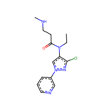 CCN(C(=O)CCNC)c1cn(-c2cccnc2)nc1Cl